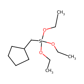 CCO[Si]([CH]C1CCCC1)(OCC)OCC